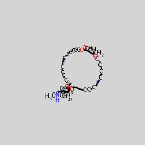 C=C1CC(C)(C)C(=O)OCCCCCCC/C=C\CCCCCCCCC(OC(=O)CC(C)(C)C(C)(C)CNC)CCCCCCCC/C=C\CCCCCCCO1